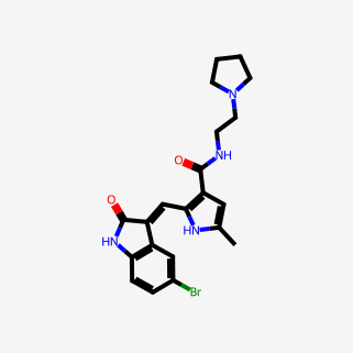 Cc1cc(C(=O)NCCN2CCCC2)c(C=C2C(=O)Nc3ccc(Br)cc32)[nH]1